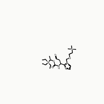 CC[Si](CC)(CC)C(C)OC(=O)NC(CC=O)c1nccn1COCC[Si](C)(C)C